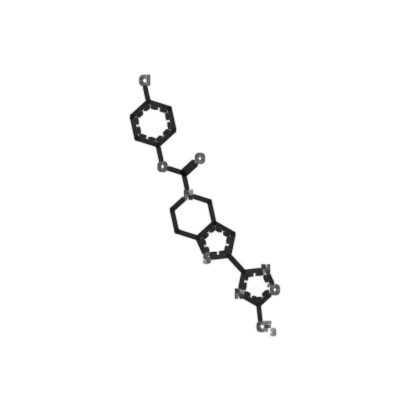 O=C(Oc1ccc(Cl)cc1)N1CCc2sc(-c3noc(C(F)(F)F)n3)cc2C1